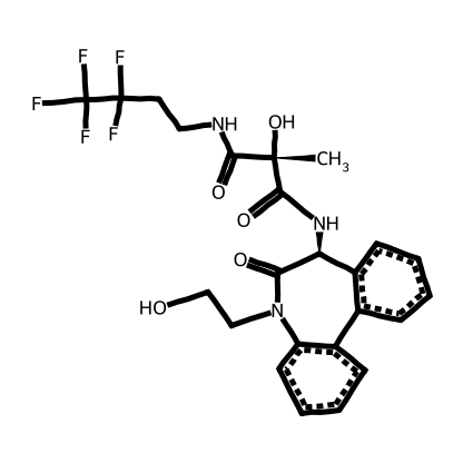 C[C@](O)(C(=O)NCCC(F)(F)C(F)(F)F)C(=O)N[C@@H]1C(=O)N(CCO)c2ccccc2-c2ccccc21